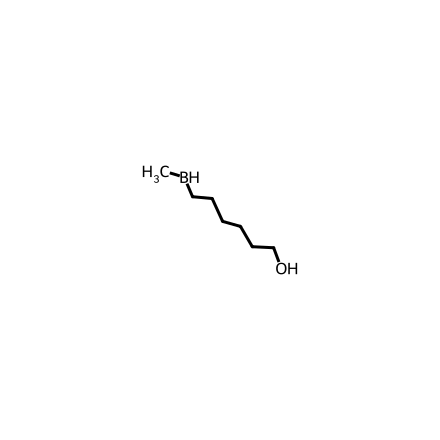 CBCCCCCCO